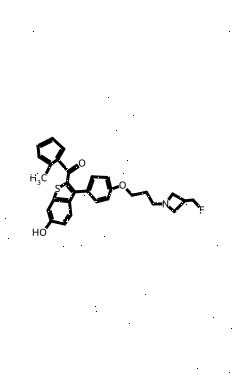 Cc1ccccc1C(=O)c1sc2cc(O)ccc2c1-c1ccc(OCCCN2CC(CF)C2)cc1